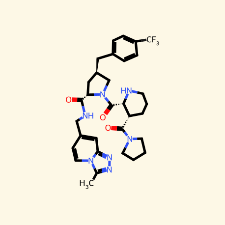 Cc1nnc2cc(CNC(=O)[C@@H]3C[C@@H](Cc4ccc(C(F)(F)F)cc4)CN3C(=O)[C@@H]3NCCC[C@@H]3C(=O)N3CCCC3)ccn12